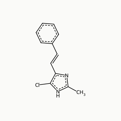 Cc1nc(/C=C/c2ccccc2)c(Cl)[nH]1